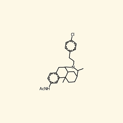 CC(=O)Nc1ccc2c(c1)C1(C)CCC3CC1C(C2)N(CCc1ccc(Cl)cc1)C3C